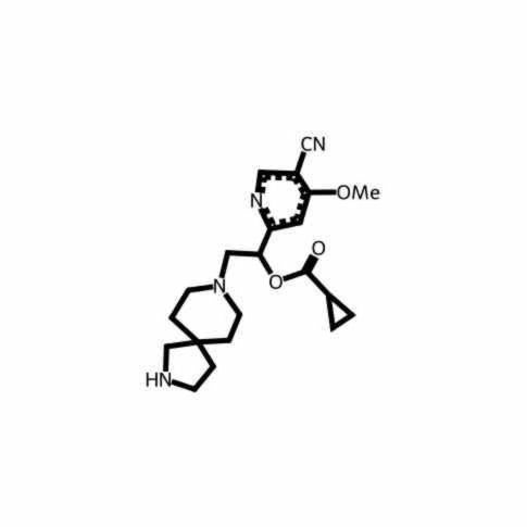 COc1cc(C(CN2CCC3(CCNC3)CC2)OC(=O)C2CC2)ncc1C#N